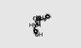 NC(=O)C(CC(=O)NCCc1ccc(O)cc1)NC(=O)CCCC1CCCCC1